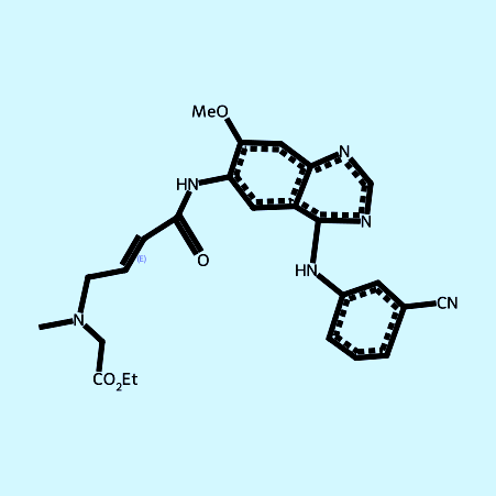 CCOC(=O)CN(C)C/C=C/C(=O)Nc1cc2c(Nc3cccc(C#N)c3)ncnc2cc1OC